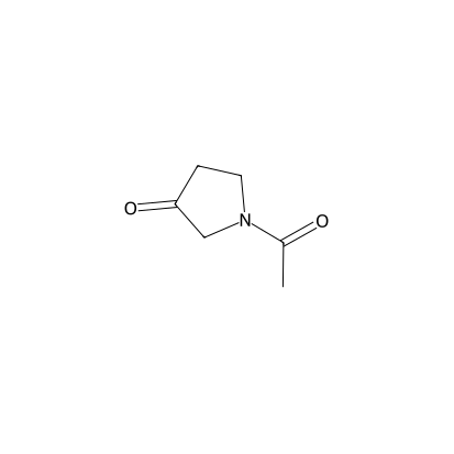 CC(=O)N1CCC(=O)C1